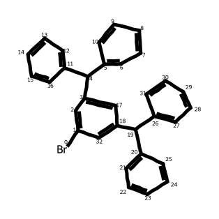 Brc1cc(C(c2ccccc2)c2ccccc2)cc(C(c2ccccc2)c2ccccc2)c1